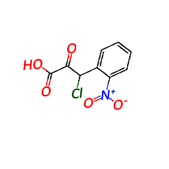 O=C(O)C(=O)C(Cl)c1ccccc1[N+](=O)[O-]